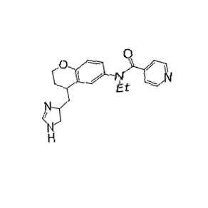 CCN(C(=O)c1ccncc1)c1ccc2c(c1)C(CC1CNC=N1)CCO2